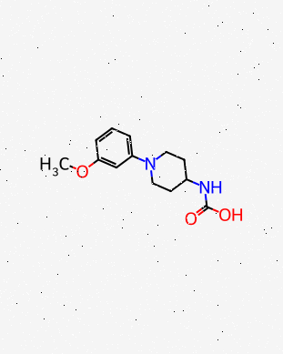 COc1cccc(N2CCC(NC(=O)O)CC2)c1